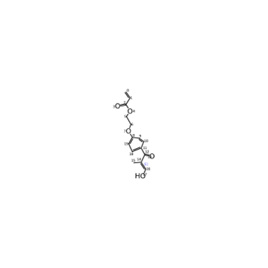 C=CC(=O)OCCOc1ccc(C(=O)/C(C)=C/O)cc1